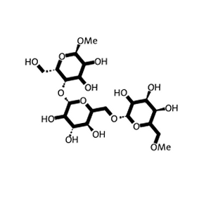 COCC1O[C@H](OCC2O[C@@H](O[C@H]3C(O)C(O)[C@H](OC)O[C@H]3CO)C(O)[C@@H](O)[C@@H]2O)C(O)[C@@H](O)[C@H]1O